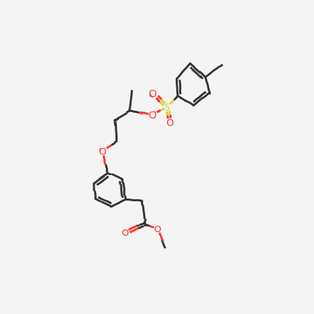 COC(=O)Cc1cccc(OCCC(C)OS(=O)(=O)c2ccc(C)cc2)c1